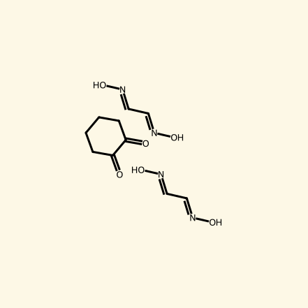 O=C1CCCCC1=O.ON=CC=NO.ON=CC=NO